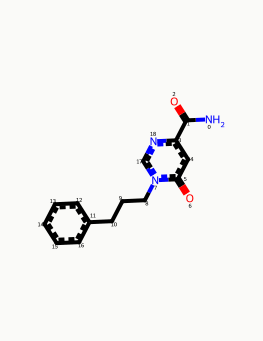 NC(=O)c1cc(=O)n(CCCc2ccccc2)cn1